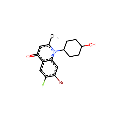 Cc1cc(=O)c2cc(F)c(Br)cc2n1C1CCC(O)CC1